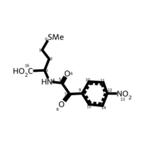 CSCCC(NC(=O)C(=O)c1ccc([N+](=O)[O-])cc1)C(=O)O